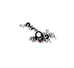 CCC(=O)/N=C1\[C@H](C)C[C@@]2(C)CC/C(=N/OCc3coc(-c4cccc(N)n4)n3)CC[C@H]([C@H]1C)[C@](C)(O)[C@@H](CC)OC(=O)[C@@](C)(F)C(=O)[C@H](C)[C@H]2O[C@@H]1O[C@H](C)C[C@H](N(C)C)[C@H]1O